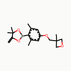 C=C1OB(c2c(C)cc(OCC3(C)COC3)cc2C)OC1(C)C